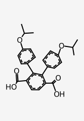 CC(C)Oc1ccc(-c2c(C(=O)O)ccc(C(=O)O)c2-c2ccc(OC(C)C)cc2)cc1